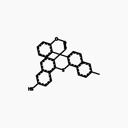 Cc1ccc2c3c(ccc2c1)C1(c2ccccc2Oc2ccccc21)c1ccc2cc(S)ccc2c1S3